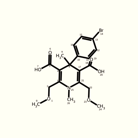 COCC1=C(C(=O)O)C(C)(c2ccc(Br)cc2)C(C(=O)O)=C(COC)N1C